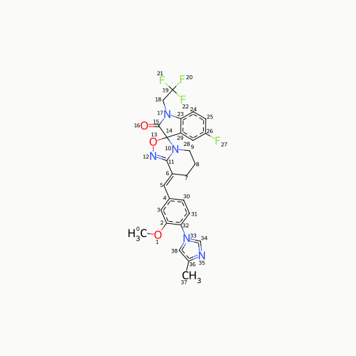 COc1cc(C=C2CCCN3C2=NOC32C(=O)N(CC(F)(F)F)c3ccc(F)cc32)ccc1-n1cnc(C)c1